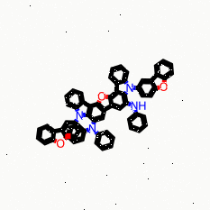 c1ccc(Nc2cc3c4cc(N(c5ccccc5)c5ccccc5)c5c(c6ccccc6n5-c5ccc6oc7ccccc7c6c5)c4oc3c3c4ccccc4n(-c4ccc5oc6ccccc6c5c4)c23)cc1